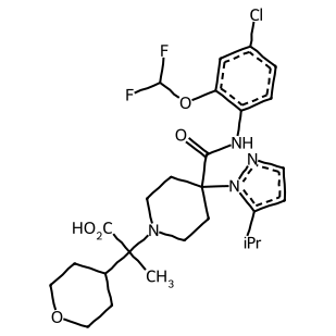 CC(C)c1ccnn1C1(C(=O)Nc2ccc(Cl)cc2OC(F)F)CCN(C(C)(C(=O)O)C2CCOCC2)CC1